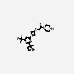 CC1(c2nc(N3CC(OCC(=O)N4CCNCC4)C3)cc(C(F)(F)F)n2)CCN1